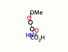 COCCOc1ccc(-c2ccc3c(c2)OCC(C)(C)C3NC(=O)O)cc1